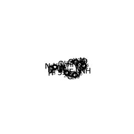 CC1(C)C(O)N(c2ccc(C#N)c(C(F)(F)F)c2)C(=S)N1c1ccc(OC2CCN(CC(=O)Nc3ccc4onc(C5CCC(=O)NC5=O)c4c3)CC2)c(F)c1